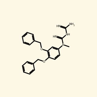 CN(C(=N)NC(=N)N)c1ccc(OCc2ccccc2)c(OCc2ccccc2)c1